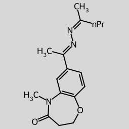 CCC/C(C)=N\N=C(/C)c1ccc2c(c1)N(C)C(=O)CCO2